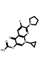 O=C(O)Oc1cn(C2CC2)c2nc(N3CCCC3)c(F)cc2c1=O